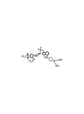 COc1cc(S(C)(=O)=O)ccc1NCC#Cc1sc2c(N[C@H]3CC[C@@H](N(CCO)CCO)CC3)cccc2c1CC(F)(F)F